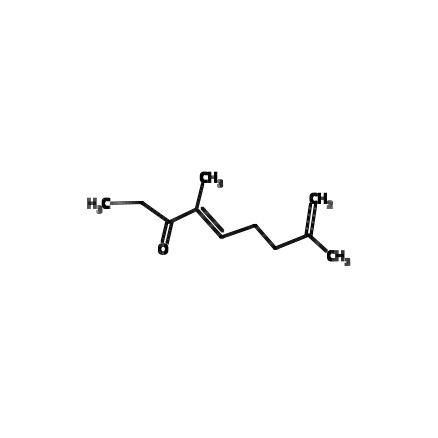 C=C(C)CC/C=C(\C)C(=O)CC